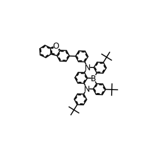 CC(C)(C)c1ccc(N2c3ccc(C(C)(C)C)cc3B3c4ccc(C(C)(C)C)cc4N(c4cccc(-c5ccc6c(c5)oc5ccccc56)c4)c4cccc2c43)cc1